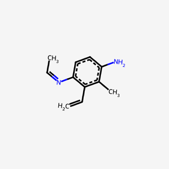 C=Cc1c(/N=C\C)ccc(N)c1C